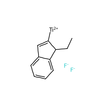 CCC1[C]([Ti+2])=Cc2ccccc21.[F-].[F-]